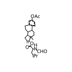 CC(=O)Oc1ccc2c(c1)CCC1C2CC[C@@]2(C)C1CC[C@@H]2OC(=O)C(CC(C)C)NC=O